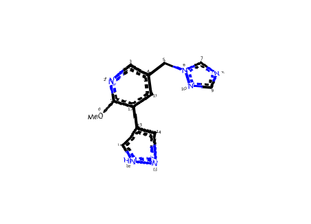 COc1ncc(Cn2cncn2)cc1-c1cn[nH]c1